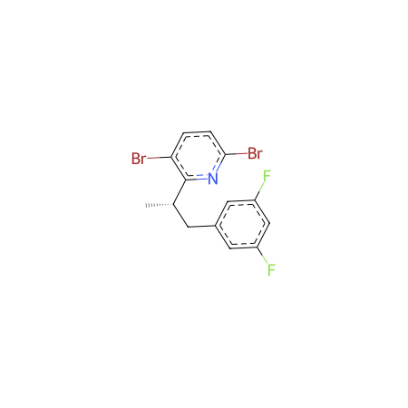 C[C@@H](Cc1cc(F)cc(F)c1)c1nc(Br)ccc1Br